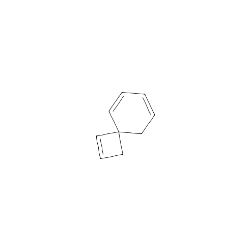 C1=CCC2(C=C1)C=CC2